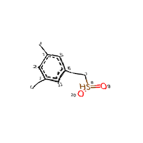 Cc1cc(C)cc(C[SH](=O)=O)c1